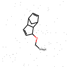 CCCCCCCCOC1C=CC2C3C=CC(C3)C12